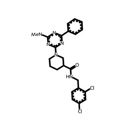 CNc1nc(-c2ccccc2)nc(N2CCCC(C(=O)NCc3ccc(Cl)cc3Cl)C2)n1